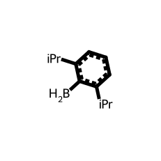 Bc1c(C(C)C)cccc1C(C)C